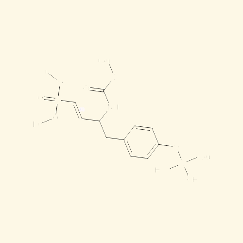 CCOP(=O)(/C=C/C(Cc1ccc(O[Si](C)(C)C(C)(C)C)cc1)NC(=O)OC(C)(C)C)OCC